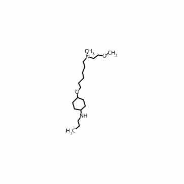 CCCNC1CCC(OCCCCCCN(C)CCOC)CC1